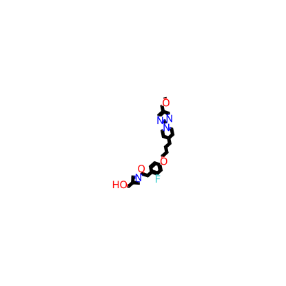 COCc1cnc(N2CCC(CCCCOc3ccc(CC(=O)N4CC(CO)C4)c(F)c3)CC2)nc1